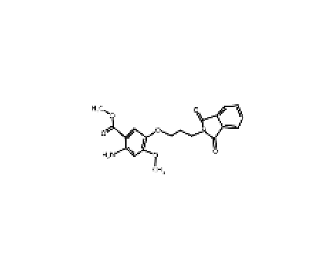 COC(=O)c1cc(OCCCN2C(=O)c3ccccc3C2=O)c(OC)cc1N